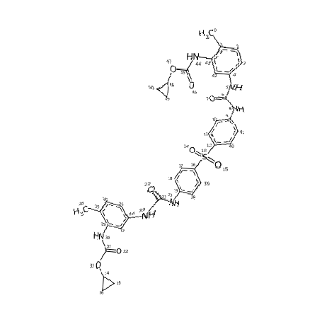 Cc1ccc(NC(=O)Nc2ccc(S(=O)(=O)c3ccc(NC(=O)Nc4ccc(C)c(NC(=O)OC5CC5)c4)cc3)cc2)cc1NC(=O)OC1CC1